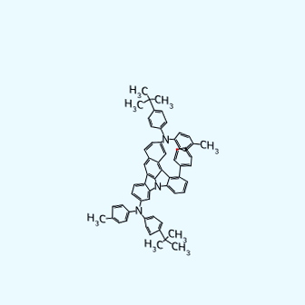 Cc1ccc(N(c2ccc(C(C)(C)C)cc2)c2ccc3cc4c5ccc(N(c6ccc(C)cc6)c6ccc(C(C)(C)C)cc6)cc5n5c6cccc(-c7ccccc7)c6c(c3c2)c45)cc1